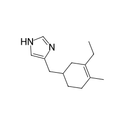 CCC1=C(C)CCC(Cc2c[nH]cn2)C1